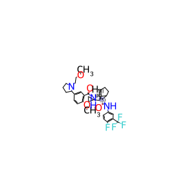 COCCN1CCCC1c1ccc(OC)c(C(=O)N[C@@H]2[C@@H]3CCC(/C3=C/C3CC3)[C@@H]2C(=O)Nc2ccc(F)c(C(F)(F)F)c2)c1